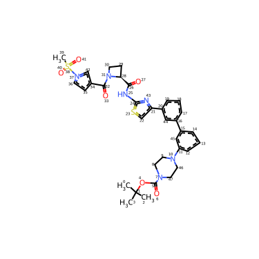 CC(C)(C)OC(=O)N1CCN(c2cccc(-c3cccc(-c4csc(NC(=O)[C@@H]5CCN5C(=O)c5ccn(S(C)(=O)=O)c5)n4)c3)c2)CC1